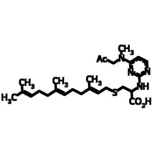 CC(=O)CN(C)c1ccnc(NC(CSC/C=C(\C)CC/C=C(\C)CCC=C(C)C)C(=O)O)n1